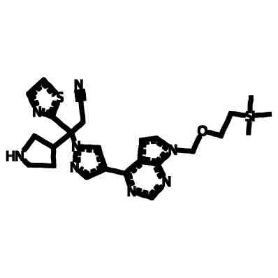 C[Si](C)(C)CCOCn1ccc2c(-c3cnn(C(CC#N)(c4nccs4)C4CCNC4)c3)ncnc21